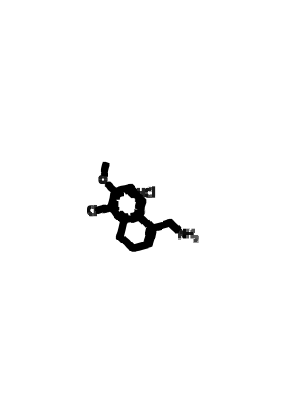 COc1ccc2c(c1Cl)CCC=C2CN.Cl